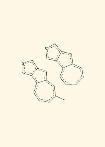 Cc1cccc2c3cscc3cc-2c1.c1ccc2cc3cscc3c-2cc1